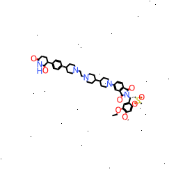 CCOc1cc([C@@H](CS(C)(=O)=O)N2C(=O)c3ccc(N4CCC(C5CCN(CCN6CCC(c7ccc(C8CCC(=O)NC8=O)cc7)CC6)CC5)CC4)cc3C2=O)ccc1OC